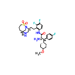 CO[C@H]1CC[C@H]([C@H](c2ccc(F)cc2)[C@H](N)C(=O)Nc2ccc(F)c(F)c2CC[C@H]2CN[C@@H]3CCCS(=O)(=O)N2C3)CC1